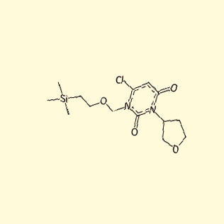 C[Si](C)(C)CCOCn1c(Cl)cc(=O)n(C2CCOC2)c1=O